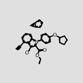 C#Cc1cccc2c1c(Cl)c(C(=O)OCC)n2-c1ccc(OC2CCCC2)cc1.c1cc2cc-2c1